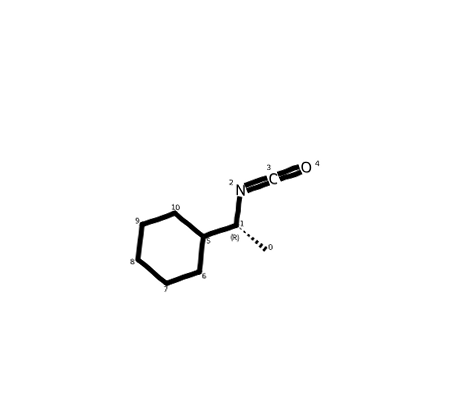 C[C@@H](N=C=O)C1CCCCC1